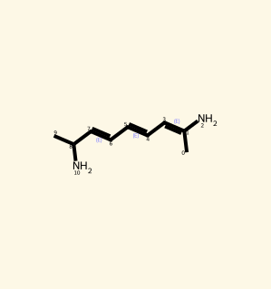 C\C(N)=C/C=C/C=C/C(C)N